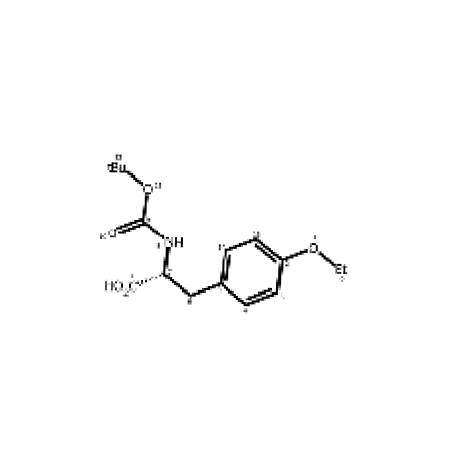 CCOc1ccc(C[C@@H](NC(=O)OC(C)(C)C)C(=O)O)cc1